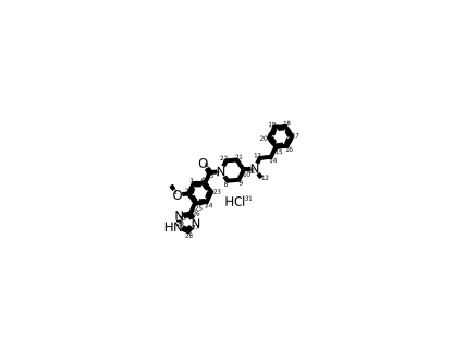 COc1cc(C(=O)N2CCC(N(C)CCc3ccccc3)CC2)ccc1-c1nc[nH]n1.Cl